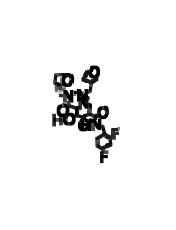 O=C(NCc1ccc(F)cc1F)c1cn2c(c(O)c1=O)C(=O)N(C[C@@H]1CCCO1)CN2Cc1ccoc1